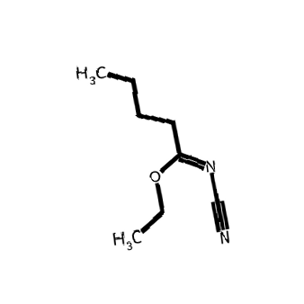 CCCCC(=NC#N)OCC